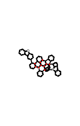 c1cc(-c2ccc3oc4ccccc4c3c2)cc(N(c2ccc3c(c2)C2(c4ccccc4-3)c3ccccc3-n3c4ccccc4c4cccc2c43)c2ccccc2-c2ccccc2-c2cccc3ccccc23)c1